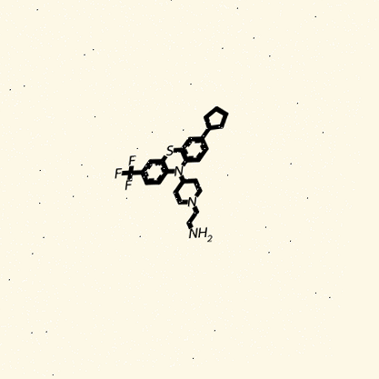 NCCN1CCC(N2c3ccc(C4CCCC4)cc3Sc3cc(C(F)(F)F)ccc32)CC1